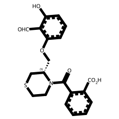 O=Cc1c(O)cccc1OC[C@H]1CSCCN1C(=O)c1ccccc1C(=O)O